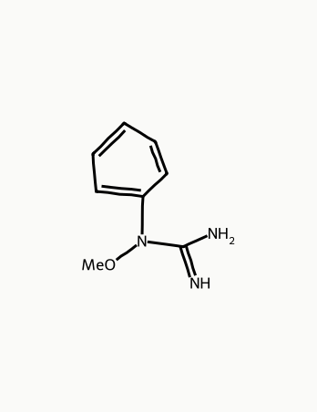 CON(C(=N)N)c1ccccc1